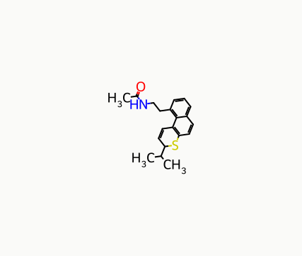 CC(=O)NCCc1cccc2ccc3c(c12)C=CC(C(C)C)S3